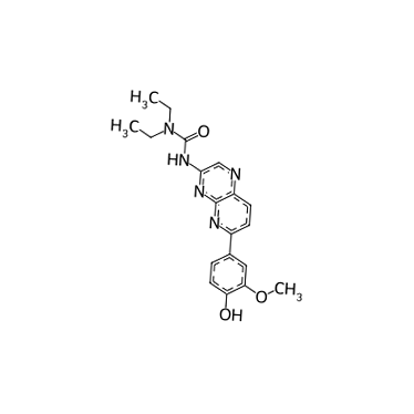 CCN(CC)C(=O)Nc1cnc2ccc(-c3ccc(O)c(OC)c3)nc2n1